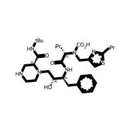 CC(C)c1nc(CN(C(=O)O)[C@H](C(=O)N[C@@H](Cc2ccccc2)[C@H](O)CN2CCNC[C@H]2C(=O)NC(C)(C)C)C(C)C)cs1